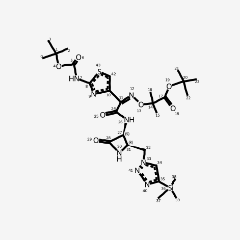 CC(C)(C)OC(=O)Nc1nc(C(=NOC(C)(C)C(=O)OC(C)(C)C)C(=O)N[C@@H]2C(=O)N[C@@H]2Cn2cc([Si](C)(C)C)nn2)cs1